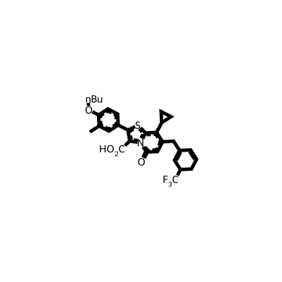 CCCCOc1ccc(-c2sc3c(C4CC4)c(CC4=CC(C(F)(F)F)CC=C4)cc(=O)n3c2C(=O)O)cc1C